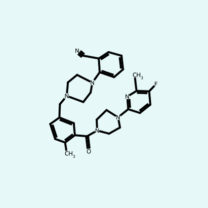 Cc1ccc(CN2CCN(c3ccccc3C#N)CC2)cc1C(=O)N1CCN(c2ccc(F)c(C)n2)CC1